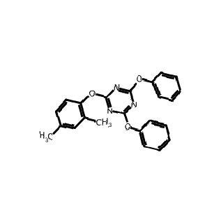 Cc1ccc(Oc2nc(Oc3ccccc3)nc(Oc3ccccc3)n2)c(C)c1